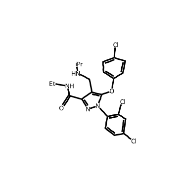 CCNC(=O)c1nn(-c2ccc(Cl)cc2Cl)c(Oc2ccc(Cl)cc2)c1CNC(C)C